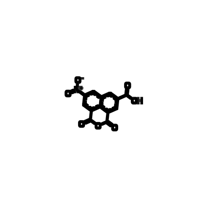 O=C(O)c1cc2c3c(cc([N+](=O)[O-])cc3c1)C(=O)OC2=O